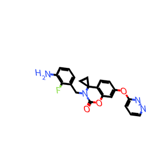 Nc1cccc(CN2C(=O)Oc3cc(Oc4cccnn4)ccc3C23CC3)c1F